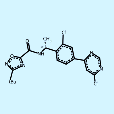 C[C@@H](NC(=O)c1nc(C(C)(C)C)no1)c1ccc(-c2cc(Cl)ncn2)cc1Cl